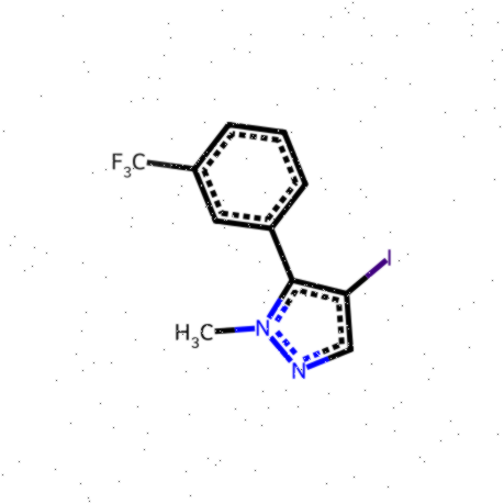 Cn1ncc(I)c1-c1cccc(C(F)(F)F)c1